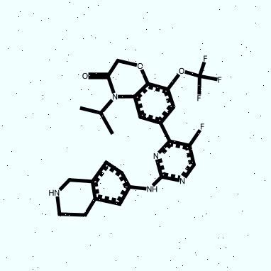 CC(C)N1C(=O)COc2c(OC(F)(F)F)cc(-c3nc(Nc4ccc5c(c4)CCNC5)ncc3F)cc21